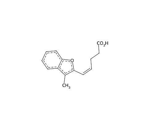 Cc1c(/C=C\CCC(=O)O)oc2ccccc12